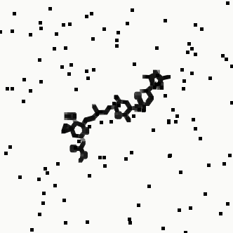 COC(=O)C[C@@H]1CC2(CC2)[C@H](O)[C@@H](/C=C/C(C)=C/C[C@@H]2O[C@H](C)[C@H](NC(=O)/C=C\C(C)n3nc(C)nc3C)C[C@@H]2C)O1